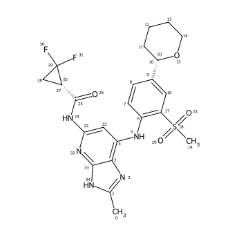 Cc1nc2c(Nc3ccc([C@@H]4CCCCO4)cc3S(C)(=O)=O)cc(NC(=O)[C@@H]3CC3(F)F)nc2[nH]1